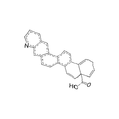 O=C(O)C12C=CCC=C1c1ccc3c(ccc4cc5ncccc5cc43)c1C=C2